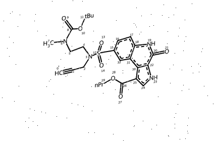 C#CCN(CCN(C)C(=O)OC(C)(C)C)S(=O)(=O)c1ccc2[nH]c(=O)c3[nH]cc(C(=O)OCCC)c3c2c1